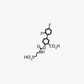 O=C(NCCS(=O)(=O)O)Oc1ccc(-c2ccc(F)cc2F)cc1C(=O)O